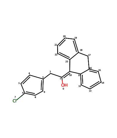 OC(Cc1ccc(Cl)cc1)=C1c2ccccc2Cc2ccccc21